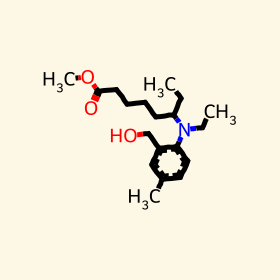 CCC(CCCCC(=O)OC)N(CC)c1ccc(C)cc1CO